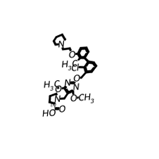 COc1nc(OCc2cccc(-c3cccc(OCCN4CCCCC4)c3C)c2Cl)nc(OC)c1CN1CCC[C@H]1C(=O)O